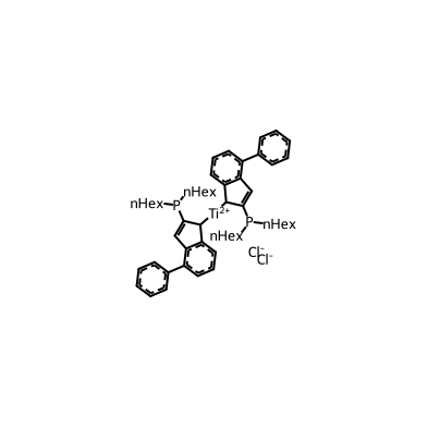 CCCCCCP(CCCCCC)C1=Cc2c(-c3ccccc3)cccc2[CH]1[Ti+2][CH]1C(P(CCCCCC)CCCCCC)=Cc2c(-c3ccccc3)cccc21.[Cl-].[Cl-]